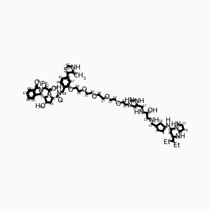 CCC(CC)C1CC(N[C@H]2CCC(CNCC(O)NCC3CN(CCOCCOCCOCCOCCOc4cc(C5SCNC5C)ccc4CNC(=O)[C@@H]4C[C@@H](O)CN4C(=O)[C@H](C(C)C)N4Cc5ccccc5C4=O)NN3)C2)N2NCCC2N1